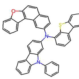 c1ccc(-n2c3ccccc3c3ccc(N(c4ccc5ccc6oc7ccccc7c6c5c4)c4cccc5c4sc4ccccc45)cc32)cc1